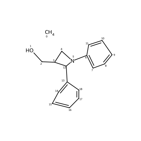 C.OCC1CN(c2ccccc2)C1c1ccccc1